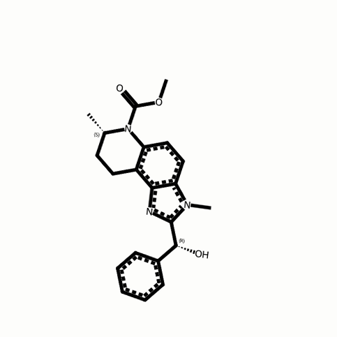 COC(=O)N1c2ccc3c(nc([C@H](O)c4ccccc4)n3C)c2CC[C@@H]1C